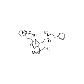 CCN(CCc1ccccc1)C(=O)CCC(NC(=O)C(CC1CCCCC1)NC(=O)O)C(=O)N(C)OC